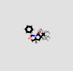 CC(C)(C)[C@]1(C)C[C@H]2CO[C@H](c3ccccc3)N2C1=O